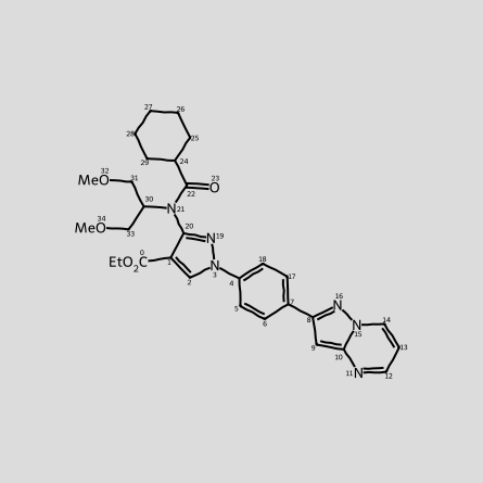 CCOC(=O)c1cn(-c2ccc(-c3cc4ncccn4n3)cc2)nc1N(C(=O)C1CCCCC1)C(COC)COC